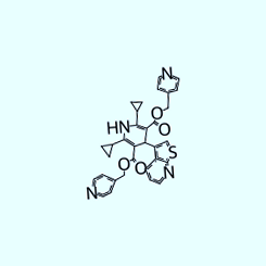 O=C(OCc1ccncc1)C1=C(C2CC2)NC(C2CC2)=C(C(=O)OCc2ccncc2)C1c1csc2ncccc12